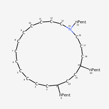 CCCCCC1CCCCCCCCCCCCN(CCCCC)CCCC(CCCCC)CC1